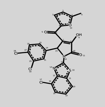 Cc1ccc(C(=O)C2=C(O)C(=O)N(c3nc4c(Cl)cccc4s3)C2c2ccc(Cl)c(Cl)c2)o1